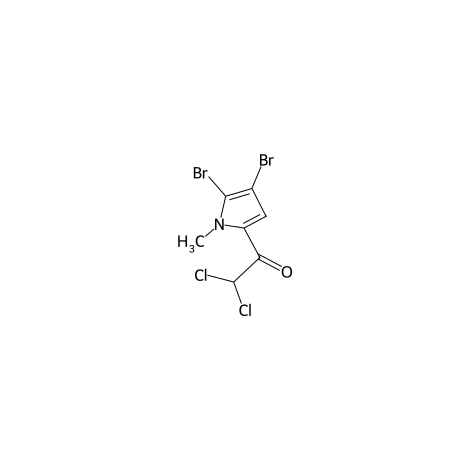 Cn1c(C(=O)C(Cl)Cl)cc(Br)c1Br